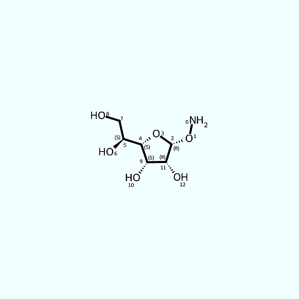 NO[C@H]1O[C@@H]([C@@H](O)CO)[C@@H](O)[C@H]1O